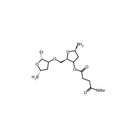 B[C@H]1CC(OC[C@H]2O[C@@H](B)CC2OC(=O)CCC(=O)NC)[C@@H](CC)O1